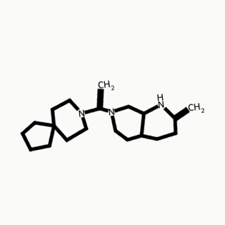 C=C1CCC2CCN(C(=C)N3CCC4(CCCC4)CC3)CC2N1